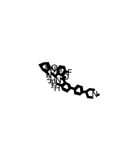 [2H]C1([2H])c2ccc(-c3ccc(C4CCN(C)CC4)cc3)cc2C(=O)N1C([2H])(c1nc2ccccc2[nH]1)c1cc(F)ccc1O